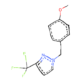 COc1ccc(Cn2ccc(C(F)(F)F)n2)cc1